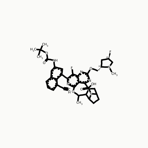 C#Cc1cccc2cc(NC(=O)OC(C)(C)C)cc(-c3nc4c5c(nc(OC[C@@H]6C[C@@H](F)CN6C)nc5c3F)N3CC5CCC(C3C(C)O4)N5C(=O)O)c12